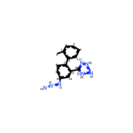 Cc1ccccc1-c1ccc(N=[N+]=[N-])cc1-c1nnn[nH]1